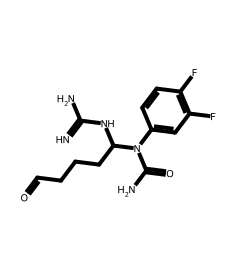 N=C(N)NC(CCCC=O)N(C(N)=O)c1ccc(F)c(F)c1